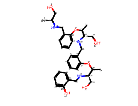 CC(C)[C@@H](CO)NCc1ccccc1OC(C)[C@@H](CO)NCc1ccccc1OC(C)[C@@H](CO)NCc1ccccc1O